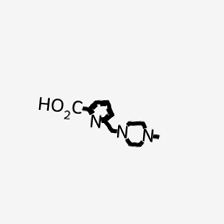 CN1CCN(Cc2cccc(C(=O)O)n2)CC1